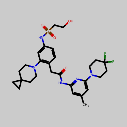 Cc1cc(NC(=O)Cc2ccc(NS(=O)(=O)CCO)cc2N2CCC3(CC2)CC3)nc(N2CCC(F)(F)CC2)c1